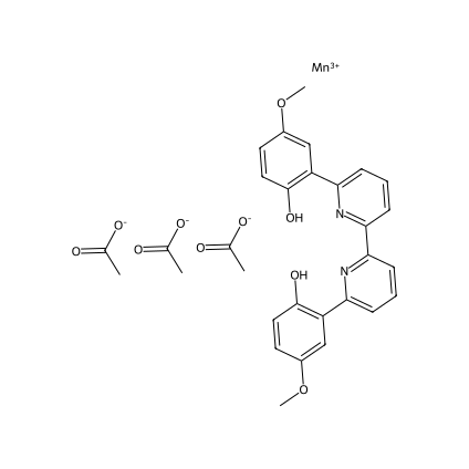 CC(=O)[O-].CC(=O)[O-].CC(=O)[O-].COc1ccc(O)c(-c2cccc(-c3cccc(-c4cc(OC)ccc4O)n3)n2)c1.[Mn+3]